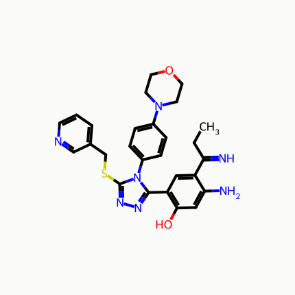 CCC(=N)c1cc(-c2nnc(SCc3cccnc3)n2-c2ccc(N3CCOCC3)cc2)c(O)cc1N